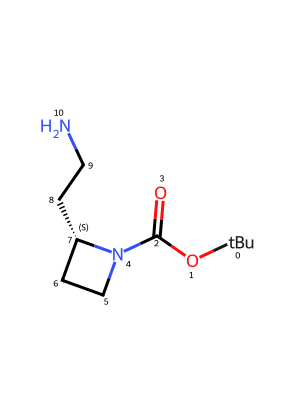 CC(C)(C)OC(=O)N1CC[C@@H]1CCN